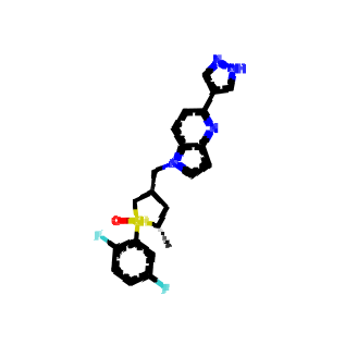 C[C@H]1C[C@H](Cn2ccc3nc(-c4cn[nH]c4)ccc32)C[SH]1(=O)c1cc(F)ccc1F